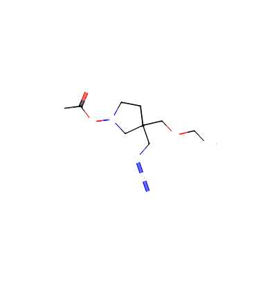 COCOCC1(CN=[N+]=[N-])CCN(OC(=O)C(C)(C)C)C1